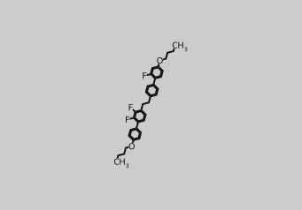 CCCCOc1ccc(-c2ccc(CCc3ccc(-c4ccc(OCCCC)cc4F)cc3)c(F)c2F)cc1